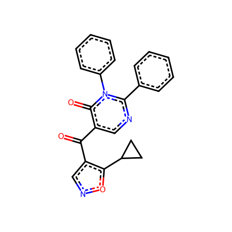 O=C(c1cnoc1C1CC1)c1cnc(-c2ccccc2)n(-c2ccccc2)c1=O